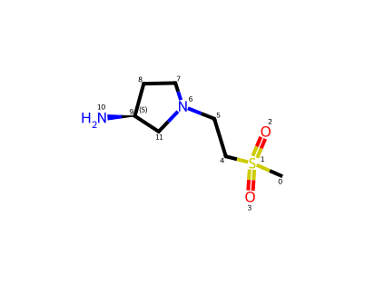 CS(=O)(=O)CCN1CC[C@H](N)C1